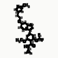 COc1cc(-c2cnc3cc(OCCc4cnn(C)c4)ccn23)cc(OC(F)F)c1C(=O)NC1CC1